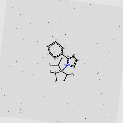 CC(C)[Si](C(C)C)(C(C)C)n1cccc1-c1ccccc1